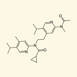 CC(=O)N(C)c1cc(CCN(C(=O)C2CC2)c2cc(C)c(C(C)C)cn2)c(C(C)C)cn1